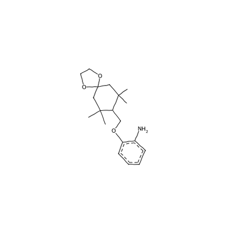 CC1(C)CC2(CC(C)(C)C1COc1ccccc1N)OCCO2